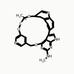 CNc1nc2c3c(c[nH]c3n1)-c1ccc3c(c1)CC(C=N3)O[C@H](C)COc1cncc(c1)CO2